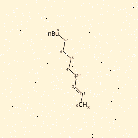 CC=C[P]CCCCCCCC